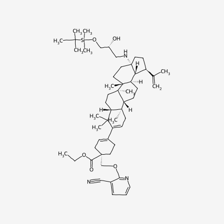 C=C(C)[C@@H]1CC[C@]2(NC[C@@H](O)CO[Si](C)(C)C(C)(C)C)CC[C@]3(C)[C@H](CC[C@@H]4[C@@]5(C)CC=C(C6=CC[C@](COc7ncccc7C#N)(C(=O)OCC)CC6)C(C)(C)[C@@H]5CC[C@]43C)[C@@H]12